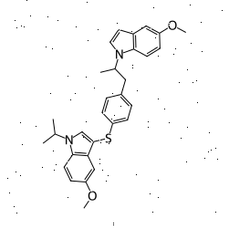 COc1ccc2c(ccn2C(C)Cc2ccc(Sc3cn(C(C)C)c4ccc(OC)cc34)cc2)c1